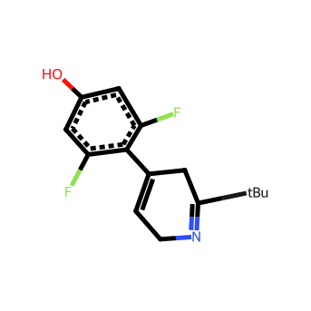 CC(C)(C)C1=NCC=C(c2c(F)cc(O)cc2F)C1